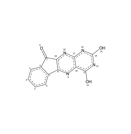 O=C1c2ccccc2-c2nc3c(O)nc(O)nc3nc21